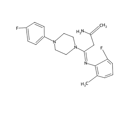 C=C(N)C/C(=N\c1c(C)cccc1F)N1CCN(c2ccc(F)cc2)CC1